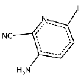 N#Cc1nc(I)ccc1N